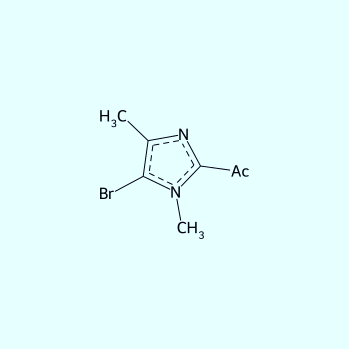 CC(=O)c1nc(C)c(Br)n1C